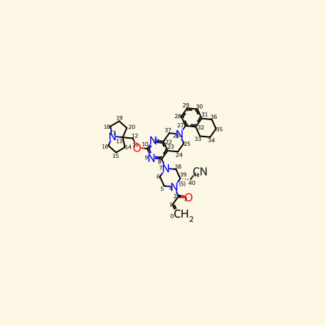 C=CC(=O)N1CCN(c2nc(OCC34CCCN3CCC4)nc3c2CCN(c2cccc4c2CCCC4)C3)C[C@@H]1CC#N